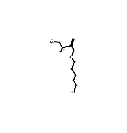 C=C(COCCCCCO)C(C)CN